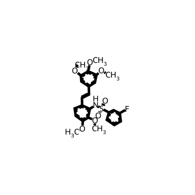 COc1cc(C=Cc2ccc(OC)c(OC)c2NS(=O)(=O)c2cccc(F)c2)cc(OC)c1OC